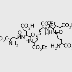 CCOC(=O)C(CSSCC(NC(=O)C(CCC(=O)O)NC(=O)CCC(N)C(=O)O)C(=O)OCC)NC(=O)C(CCC(=O)O)NC(=O)CCC(N)C(=O)O